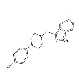 Cc1ccc2[nH]cc(CN3CCN(c4ccc(Cl)cc4)CC3)c2c1